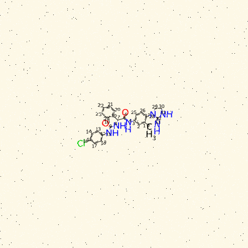 Cc1cc(NC(=O)[C@H](NC(=O)Nc2ccc(Cl)cc2)c2ccccc2)ccc1N1CCNC1=N